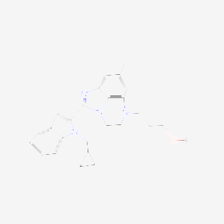 CCOCCSN1CCn2c(-c3cc4ccccc4n3CC3CC3)nc3cc(C=O)cc1c32